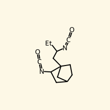 CCC(CC12CCC(CC1N=C=O)C2)N=C=O